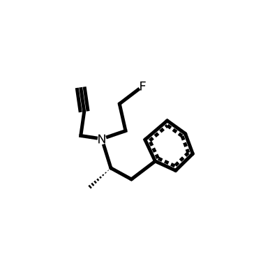 C#CCN(CCF)[C@@H](C)Cc1ccccc1